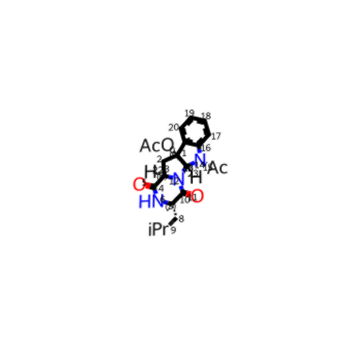 CC(=O)O[C@@]12C[C@@H]3C(=O)N[C@@H](CC(C)C)C(=O)N3[C@@H]1N(C(C)=O)c1ccccc12